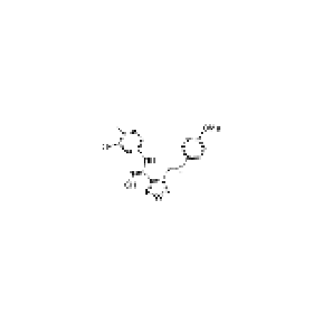 COc1ccc(OCc2nonc2/C(=N\O)Nc2ccc(F)c(Cl)c2)cc1